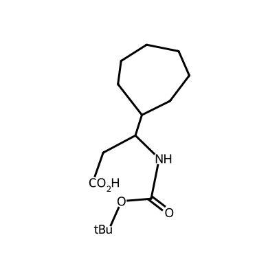 CC(C)(C)OC(=O)NC(CC(=O)O)C1CCCCCC1